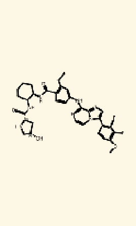 CCc1cc(Nc2nccn3c(-c4ccc(OC)c(F)c4F)cnc23)ccc1C(=O)NC1CCCCC1NC(=O)[C@@H]1C[C@@H](O)CN1